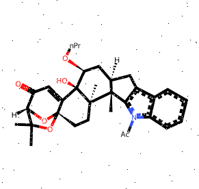 CCCO[C@H]1C[C@H]2Cc3c(n(C(C)=O)c4ccccc34)[C@]2(C)[C@@]2(C)CC[C@@]34O[C@@H](C(=O)C=C3[C@]12O)C(C)(C)O4